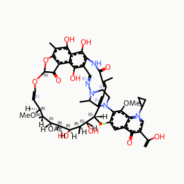 C=C(O)c1cn(C2CC2)c2c(OC)c(N3CCN(/N=C/c4c5c(O)c6c(O)c(C)c7c(c6c4O)C(=O)[C@@](C)(O/C=C/[C@H](OC)[C@@H](C)[C@@H](OC(C)=O)[C@H](C)[C@H](O)[C@H](C)[C@@H](O)[C@@H](C)/C=C/C=C(/C)C(=O)N5)O7)C(C)C3)c(F)cc2c1=O